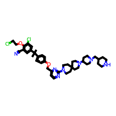 CC(C)(c1ccc(OCc2ccnc(N3CCC4(CC3)CCN(C3CCN(CC5CCNCC5)CC3)CC4)n2)cc1)c1cc(Cl)c(OCCCl)c(C#N)c1